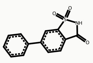 O=C1NS(=O)(=O)c2cc(-c3ccccc3)ccc21